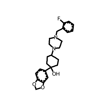 OC1(c2ccc3c(c2)OCO3)CCC(N2CCN(Cc3ccccc3F)CC2)CC1